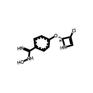 N=C(NO)c1ccc(O[C@H]2NC=C2Cl)cc1